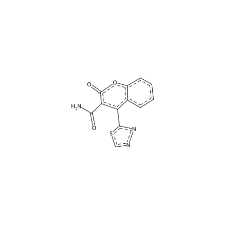 NC(=O)c1c(-c2nncs2)c2ccccc2oc1=O